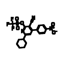 N#Cc1c(-c2ccc([N+](=O)[O-])cc2)cc(C2CCCCC2)nc1OS(=O)(=O)C(F)(F)F